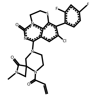 C=CC(=O)N1CCN(c2nc(=O)n3c4c(c(-c5ccc(F)cc5F)c(Cl)cc24)SCC3)CC12CN(C)C2=O